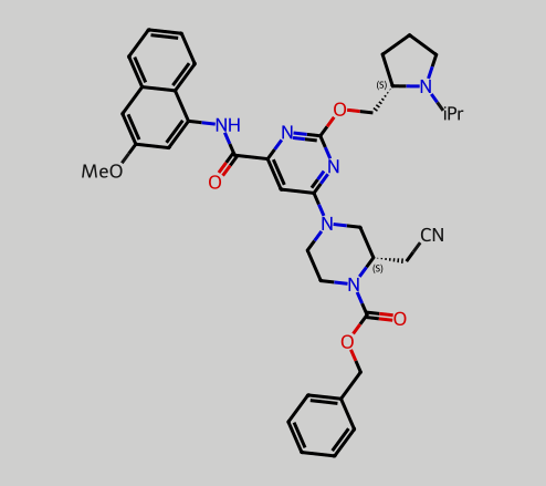 COc1cc(NC(=O)c2cc(N3CCN(C(=O)OCc4ccccc4)[C@@H](CC#N)C3)nc(OC[C@@H]3CCCN3C(C)C)n2)c2ccccc2c1